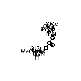 COC(=O)N[C@H](C(=O)N1C2CC2C[C@@H]1c1nc2ccc(-c3ccc(-c4ccc(-c5cnc([C@@H]6C[C@@H]7C[C@@H]7N6C(=O)[C@@H](NC(=O)OC)C(C)C)[nH]5)cc4)c4c3C3CCC4O3)cc2[nH]1)C(C)C